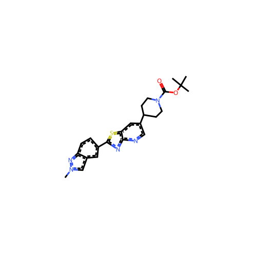 Cn1cc2cc(-c3nc4ncc(C5CCN(C(=O)OC(C)(C)C)CC5)cc4s3)ccc2n1